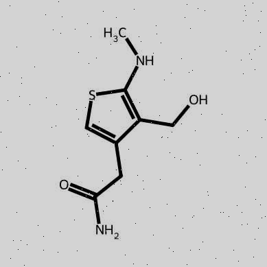 CNc1scc(CC(N)=O)c1CO